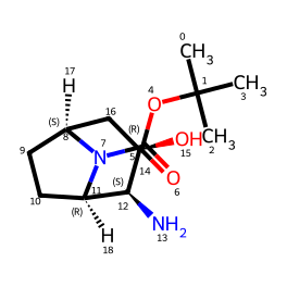 CC(C)(C)OC(=O)N1[C@H]2CC[C@@H]1[C@H](N)[C@H](O)C2